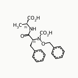 C[C@H](NC(=O)[C@H](Cc1ccccc1)N(OCc1ccccc1)C(=O)O)C(=O)O